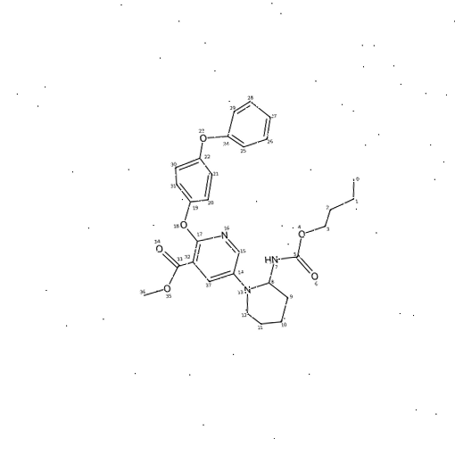 CCCCOC(=O)NC1CCCCN1c1cnc(Oc2ccc(Oc3ccccc3)cc2)c(C(=O)OC)c1